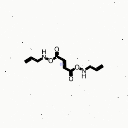 C=CCNOC(=O)/C=C/C(=O)ONCC=C